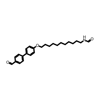 O=CNCCCCCCCCCCCOc1ccc(-c2ccc(C=O)cc2)cc1